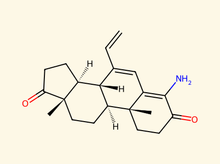 C=CC1=CC2=C(N)C(=O)CC[C@]2(C)[C@H]2CC[C@]3(C)C(=O)CC[C@H]3[C@H]12